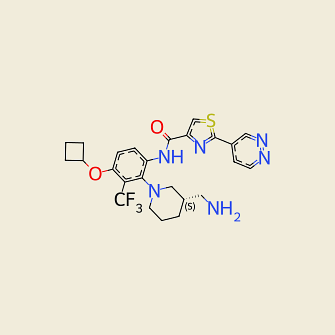 NC[C@@H]1CCCN(c2c(NC(=O)c3csc(-c4ccnnc4)n3)ccc(OC3CCC3)c2C(F)(F)F)C1